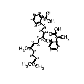 C=C(C(=O)O)c1ccccc1.CC(C)=CCCC(C)=CCCC(C)=CCSc1ccccc1C(=O)O